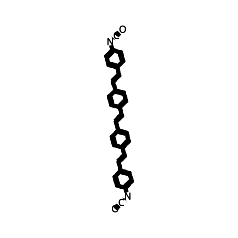 O=C=Nc1ccc(/C=C/c2ccc(/C=C/c3ccc(/C=C/c4ccc(N=C=O)cc4)cc3)cc2)cc1